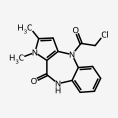 Cc1cc2c(n1C)C(=O)Nc1ccccc1N2C(=O)CCl